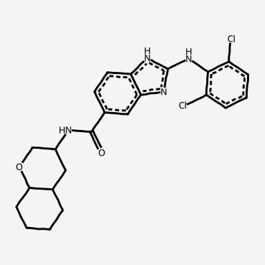 O=C(NC1COC2CCCCC2C1)c1ccc2[nH]c(Nc3c(Cl)cccc3Cl)nc2c1